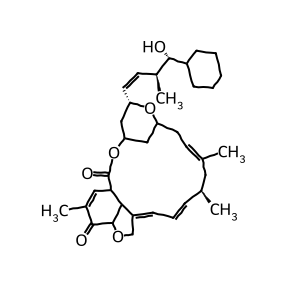 CC1=CC2C(=O)OC3CC(C/C=C(\C)C[C@@H](C)/C=C/C=C4\COC(C1=O)C42)O[C@@H](/C=C\[C@H](C)[C@H](O)C1CCCCC1)C3